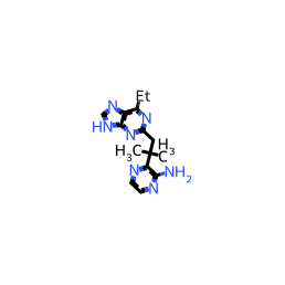 CCc1nc(CC(C)(C)c2nccnc2N)nc2[nH]cnc12